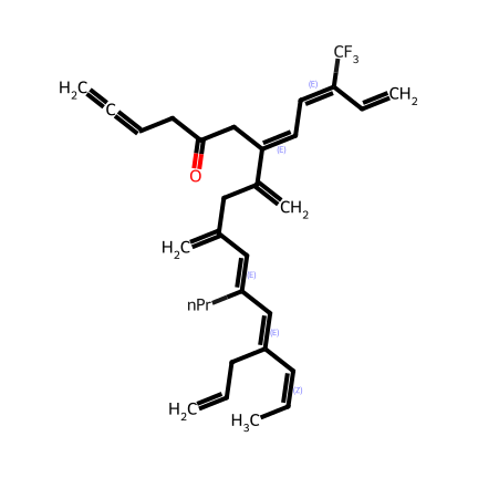 C=C=CCC(=O)C/C(=C\C=C(/C=C)C(F)(F)F)C(=C)CC(=C)/C=C(/C=C(/C=C\C)CC=C)CCC